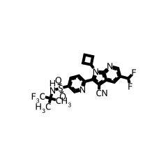 CC(C)(NS(=O)(=O)c1ccc(-c2c(C#N)c3cc(C(F)F)cnc3n2C2CCC2)nc1)C(F)(F)F